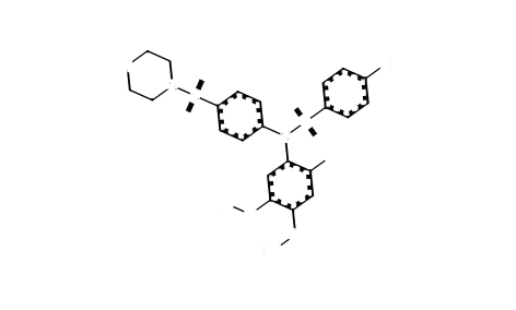 [CH]c1cc(OC)c(OC)cc1N(c1ccc(S(=O)(=O)N2CCSCC2)cc1)S(=O)(=O)c1ccc(Cl)cc1